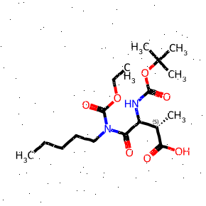 CCCCCN(C(=O)OCC)C(=O)C(NC(=O)OC(C)(C)C)[C@H](C)C(=O)O